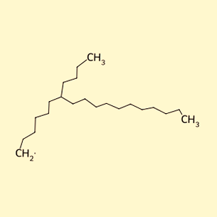 [CH2]CCCCCC(CCCC)CCCCCCCCCCC